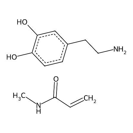 C=CC(=O)NC.NCCc1ccc(O)c(O)c1